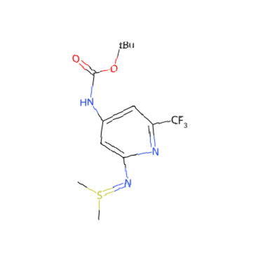 CS(C)=Nc1cc(NC(=O)OC(C)(C)C)cc(C(F)(F)F)n1